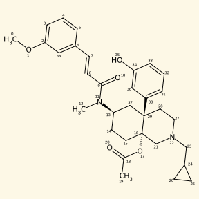 COc1cccc(C=CC(=O)N(C)[C@@H]2CC[C@]3(OC(C)=O)CN(CC4CC4)CC[C@@]3(c3cccc(O)c3)C2)c1